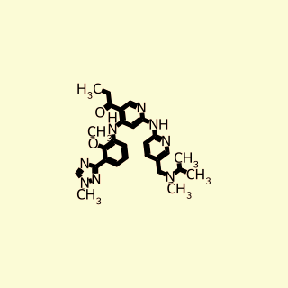 CCC(=O)c1cnc(Nc2ccc(CN(C)C(C)C)cn2)cc1Nc1cccc(-c2ncn(C)n2)c1OC